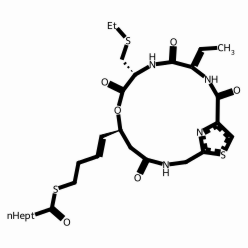 C/C=C1\NC(=O)c2csc(n2)CNC(=O)C[C@@H](/C=C/CCSC(=O)CCCCCCC)OC(=O)[C@H](CSCC)NC1=O